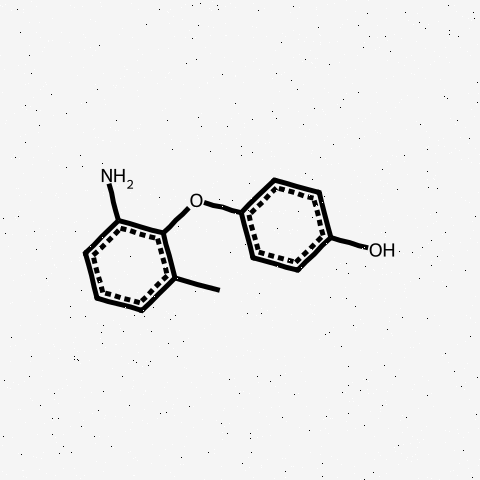 Cc1cccc(N)c1Oc1ccc(O)cc1